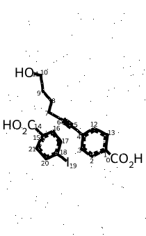 O=C(O)c1ccc(C#CCCCCO)cc1.O=C(O)c1ccc(I)cc1